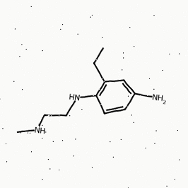 CCc1cc(N)ccc1NCCNC